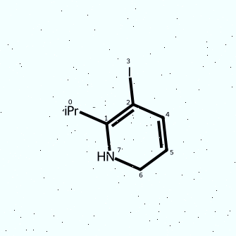 C[C](C)C1=C(I)C=CCN1